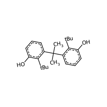 CC(C)(C)c1c(O)cccc1C(C)(C)c1cccc(O)c1C(C)(C)C